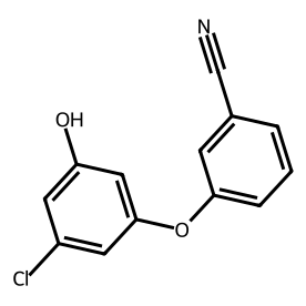 N#Cc1cccc(Oc2cc(O)cc(Cl)c2)c1